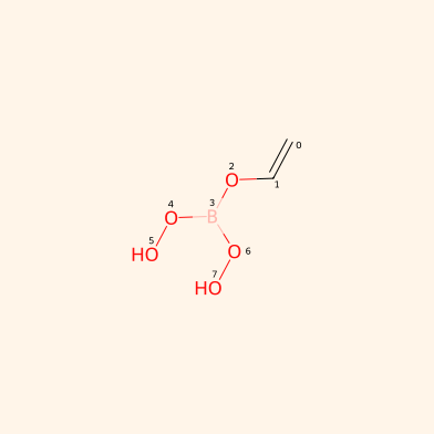 C=COB(OO)OO